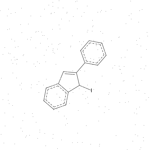 IC1C(c2ccccc2)=Cc2ccccc21